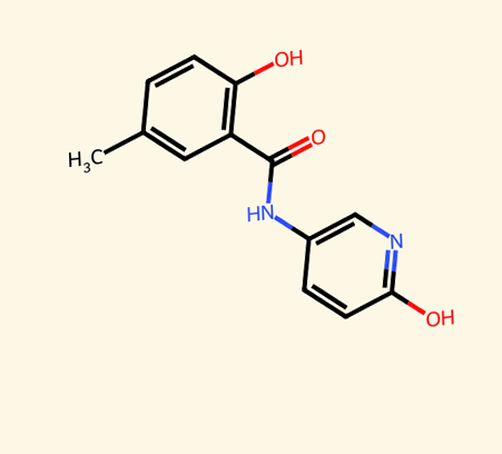 Cc1ccc(O)c(C(=O)Nc2ccc(O)nc2)c1